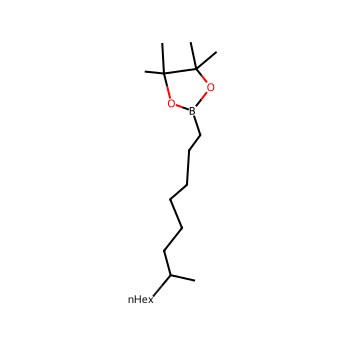 CCCCCCC(C)CCCCCCB1OC(C)(C)C(C)(C)O1